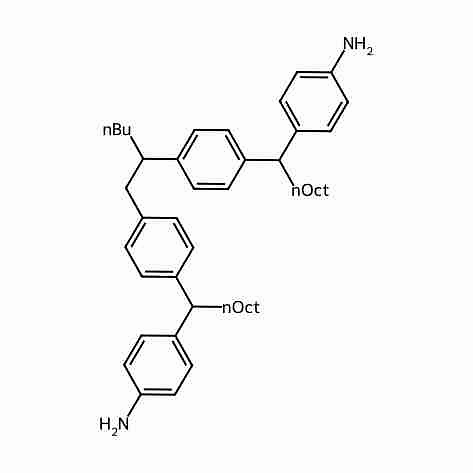 CCCCCCCCC(c1ccc(N)cc1)c1ccc(CC(CCCC)c2ccc(C(CCCCCCCC)c3ccc(N)cc3)cc2)cc1